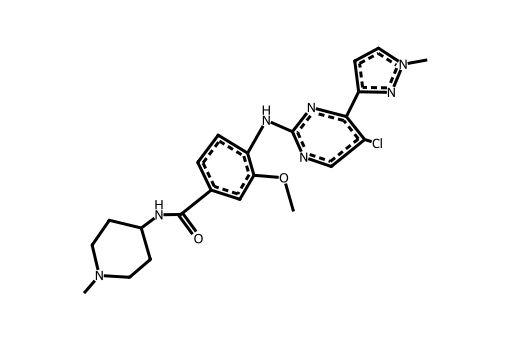 COc1cc(C(=O)NC2CCN(C)CC2)ccc1Nc1ncc(Cl)c(-c2ccn(C)n2)n1